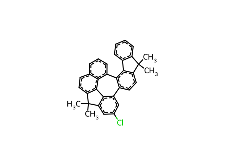 CC1(C)c2ccccc2-c2c1ccc1c2-c2cccc3ccc4c(c23)-c2c-1cc(Cl)cc2C4(C)C